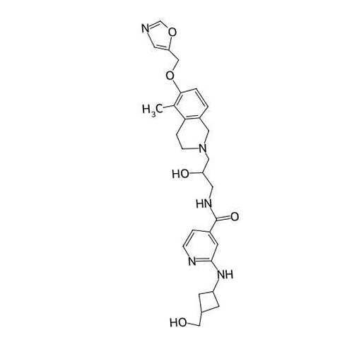 Cc1c(OCc2cnco2)ccc2c1CCN(CC(O)CNC(=O)c1ccnc(NC3CC(CO)C3)c1)C2